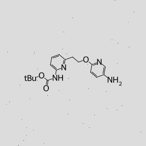 CC(C)(C)OC(=O)Nc1cccc(CCOc2ccc(N)cn2)n1